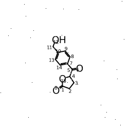 O=C1CCC(C(=O)c2ccc(CO)cc2)O1